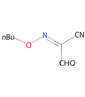 CCCCO/N=C(\[C]=O)C#N